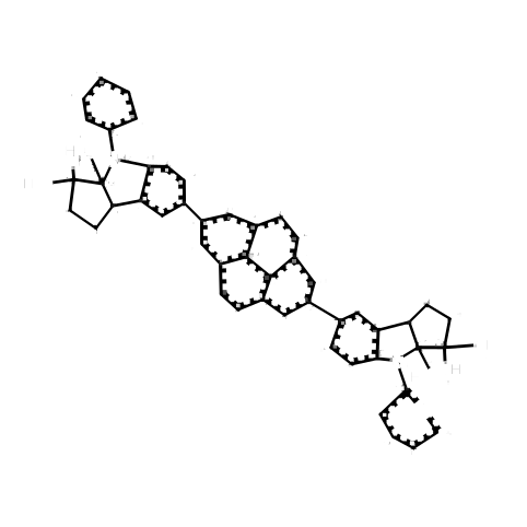 CC1(C)CCC2c3cc(-c4cc5ccc6cc(-c7ccc8c(c7)C7CCC(C)(C)C7(C)N8c7ccccc7)cc7ccc(c4)c5c67)ccc3N(c3ccccc3)C21C